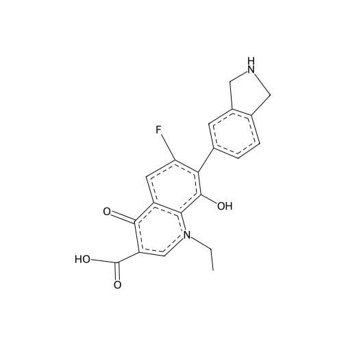 CCn1cc(C(=O)O)c(=O)c2cc(F)c(-c3ccc4c(c3)CNC4)c(O)c21